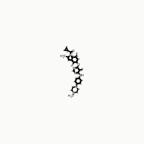 Cc1cc2c(F)c(Oc3ncnc(Nc4ccc(N5CCN(C)CC5)cc4)c3F)cc(F)c2n1C(=O)C1CC1